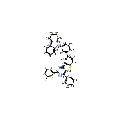 Cc1cccc(-c2nc(-c3ccccc3)c3sc4ccc(-c5cccc(-n6c7ccccc7c7ccccc76)c5)cc4c3n2)c1